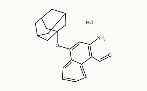 Cl.Nc1cc(OC23CC4CC(CC(C4)C2)C3)c2ccccc2c1C=O